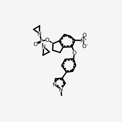 Cn1cc(-c2ccc(Oc3c([N+](=O)[O-])ccc4c3CC[C@H]4OP(=O)(N3CC3)N3CC3)cc2)cn1